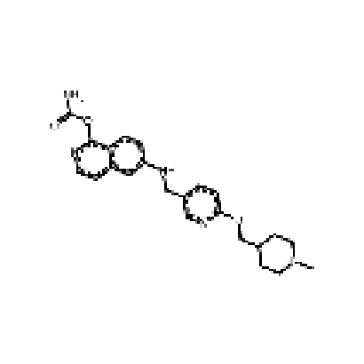 CN1CCC(COc2ccc(CNc3ccc4c(OC(N)=O)nccc4c3)cn2)CC1